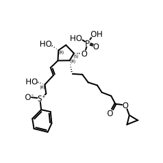 O=C(CCCCCC[C@@H]1C(C=C[C@@H](O)C[S+]([O-])c2ccccc2)[C@H](O)C[C@@H]1OP(=O)(O)O)OC1CC1